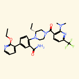 CCOc1ncccc1-c1ccc(N2CCN(C(=O)c3ccc(C(F)(F)F)nc3N(C)C)C[C@H]2CC)c(C(N)=O)c1